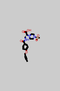 CC#CCOc1ccc(C(=O)NC[C@H](C(=O)O)N2CCN(S(C)(=O)=O)CC2)cc1